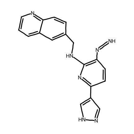 N=Nc1ccc(-c2cn[nH]c2)nc1NCc1ccc2ncccc2c1